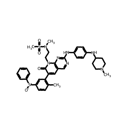 Cc1ccc([S+]([O-])c2ccccc2)cc1-c1cc2cnc(Nc3ccc(NC4CCN(C)CC4)cc3)nc2n(CCN(C)S(C)(=O)=O)c1=O